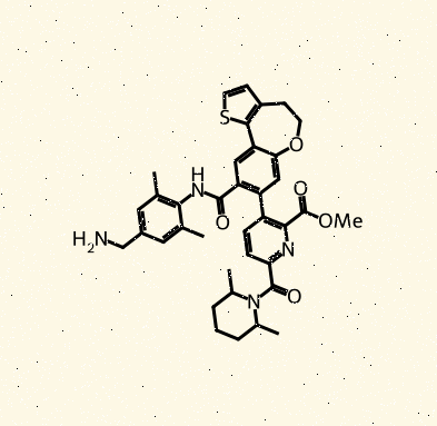 COC(=O)c1nc(C(=O)N2C(C)CCCC2C)ccc1-c1cc2c(cc1C(=O)Nc1c(C)cc(CN)cc1C)-c1sccc1CCO2